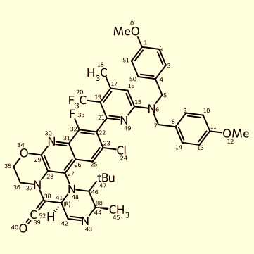 COc1ccc(CN(Cc2ccc(OC)cc2)c2cc(C)c(C(F)(F)F)c(-c3c(Cl)cc4c5c6c(nc4c3F)OCCN6C(=C=O)[C@@H]3C=N[C@H](C)C(C(C)(C)C)N53)n2)cc1